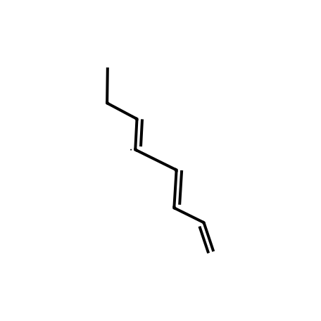 C=CC=C/[C]=C/CC